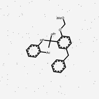 CCCC(C)(Pc1ccccc1C(C)=O)c1cc(Cc2ccccc2)ccc1OCOC